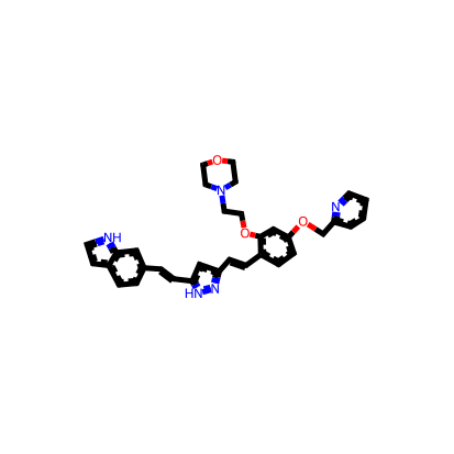 C(=Cc1cc(C=Cc2ccc(OCc3ccccn3)cc2OCCN2CCOCC2)n[nH]1)c1ccc2cc[nH]c2c1